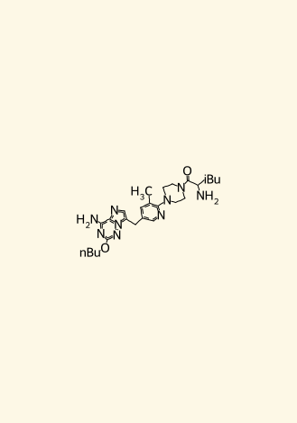 CCCCOc1nc(N)c2ncc(Cc3cnc(N4CCN(C(=O)C(N)C(C)CC)CC4)c(C)c3)n2n1